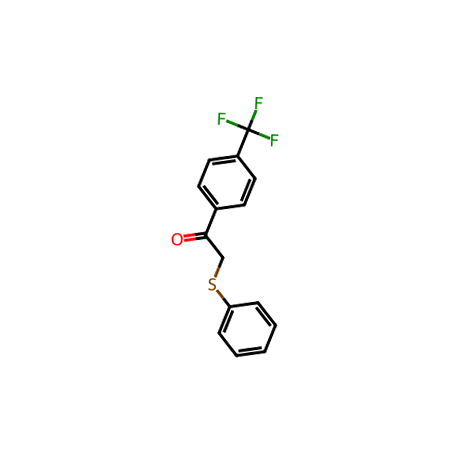 O=C(CSc1ccccc1)c1ccc(C(F)(F)F)cc1